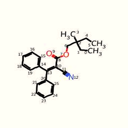 CCC(C)(CC)COC(=O)C(C#N)=C(c1ccccc1)c1ccccc1